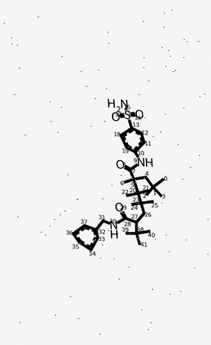 CC(C)(C)CC(C)(C(=O)Nc1ccc(S(N)(=O)=O)cc1)C(C)(C)C(C)(C)CC(C(=O)NCc1ccccc1)C(C)(C)C